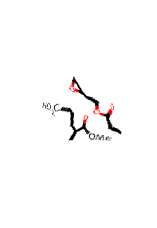 C=C(C=CC(=O)O)C(=O)OC.C=CC(=O)OCC1CO1